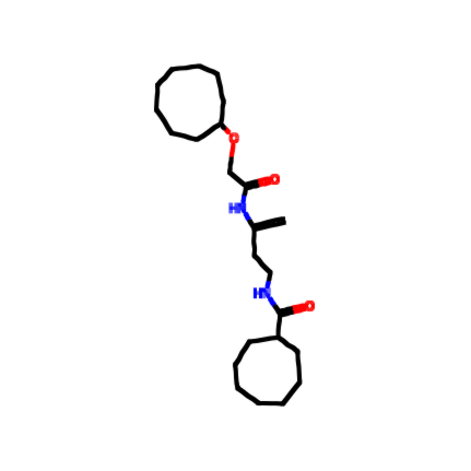 C=C(CCNC(=O)C1CCCCCCC1)NC(=O)COC1CCCCCCCC1